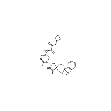 CC1=NC=C(NC(=O)C(=O)CC2CCC2)CN1[C@@H]1CC2(CCC(c3ccccc3)(N(C)C)CC2)NN1